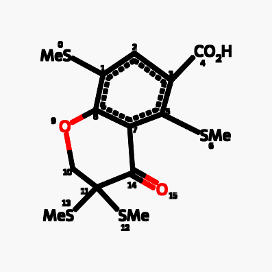 CSc1cc(C(=O)O)c(SC)c2c1OCC(SC)(SC)C2=O